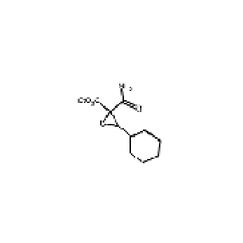 CCOC(=O)C1(C(N)=O)OC1C1CCCCC1